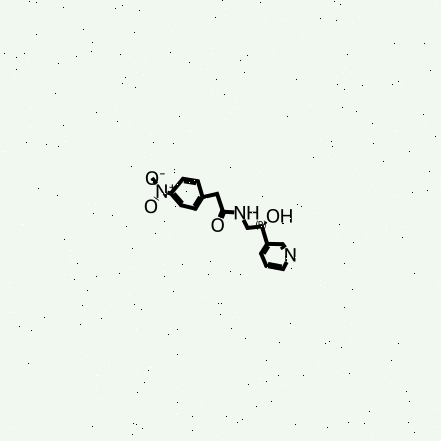 O=C(Cc1ccc([N+](=O)[O-])cc1)NC[C@H](O)c1cccnc1